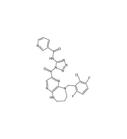 O=C(Nc1nnnn1C(=O)c1cnc2c(n1)N(Cc1c(F)ccc(F)c1Cl)CCCN2)c1cccnc1